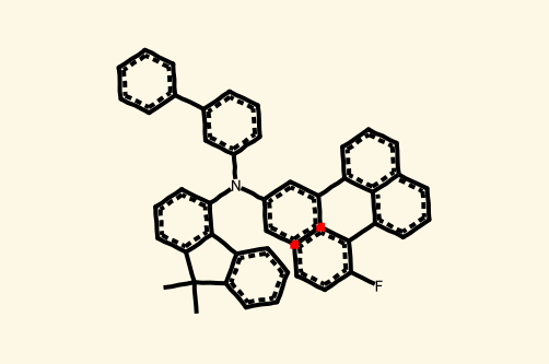 CC1(C)c2ccccc2-c2c(N(c3cccc(-c4ccccc4)c3)c3cccc(-c4cccc5cccc(-c6ccccc6F)c45)c3)cccc21